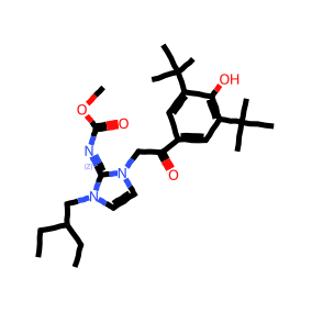 CCC(CC)Cn1ccn(CC(=O)c2cc(C(C)(C)C)c(O)c(C(C)(C)C)c2)/c1=N\C(=O)OC